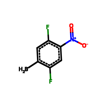 Bc1cc(F)c([N+](=O)[O-])cc1F